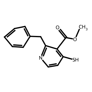 COC(=O)c1c(S)ccnc1Cc1ccccc1